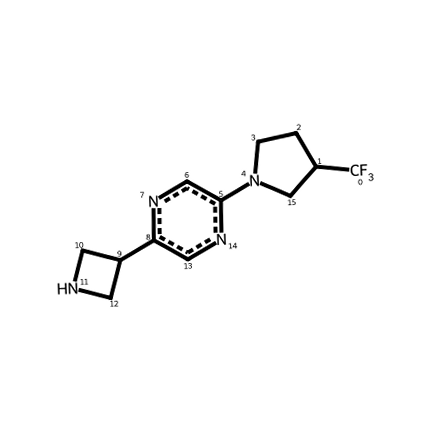 FC(F)(F)C1CCN(c2cnc(C3CNC3)cn2)C1